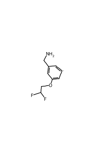 NCc1c[c]cc(OCC(F)F)c1